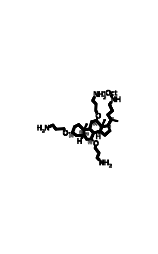 CCCCCCCCNCCC[C@@H](C)[C@H]1CC[C@H]2C3C(C[C@H](OCCCN)[C@]12C)[C@@]1(C)CC[C@@H](OCCCN)C[C@H]1C[C@H]3OCCCN